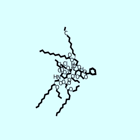 CCCCCCCCCCCC(=O)O[C@H](CCCCCCCCCCC)CC(=O)OC1[C@@H]2OC(c3ccccc3)OCC2O[C@@H](OCC2O[C@H](OCCCC)C(NC(=O)C[C@@H](CCCCCCCCCCC)OCCCC)[C@@H](OC(=O)C[C@@H](CCCCCCCCCCC)OCCCC)[C@@H]2OCCCC)[C@H]1NC(=O)OCC(Cl)(Cl)Cl